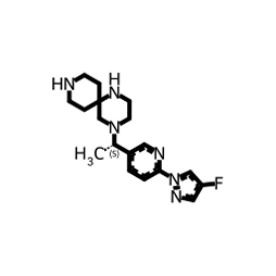 C[C@@H](c1ccc(-n2cc(F)cn2)nc1)N1CCNC2(CCNCC2)C1